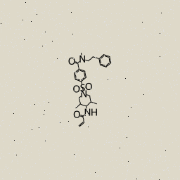 C=CC(=O)NC1C(C)CN(S(=O)(=O)c2ccc(C(=O)N(C)CCc3ccccc3)cc2)CC1C